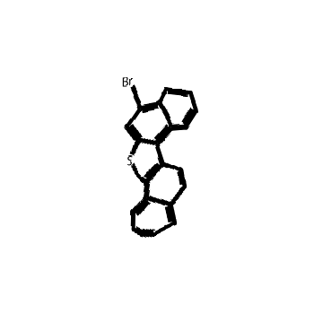 Brc1cc2sc3c4ccccc4ccc3c2c2ccccc12